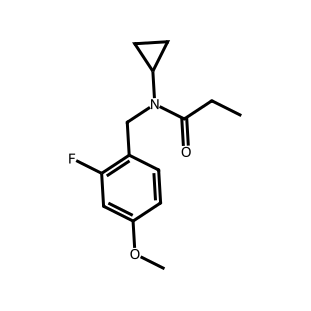 CCC(=O)N(Cc1ccc(OC)cc1F)C1CC1